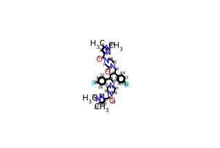 Cc1cc(C(=O)N2CCN(CC(C(=O)C(CN3CCN(C(=O)c4cc(C)n(C)n4)CC3)c3ccc(F)cc3)c3ccc(F)cc3)CC2)nn1C